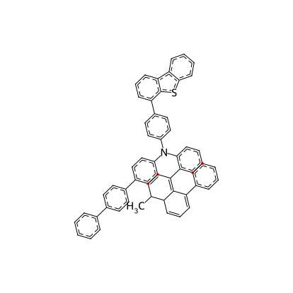 CC1C=CC(c2ccccc2N(c2ccc(-c3ccc(-c4ccccc4)cc3)cc2)c2ccc(-c3cccc4c3sc3ccccc34)cc2)=C2C(c3ccccc3)=CC=CC21